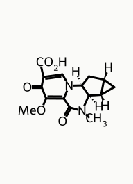 COc1c2n(cc(C(=O)O)c1=O)[C@H]1C[C@@H]3C[C@@H]3[C@H]1N(C)C2=O